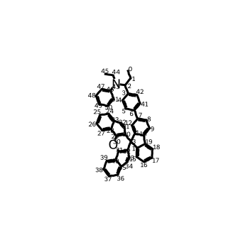 CCC(c1ccc(-c2ccc3c(c2)C2(c4ccccc4-3)c3ccc4ccccc4c3Oc3c2ccc2ccccc32)cc1)N(CC)c1ccccc1